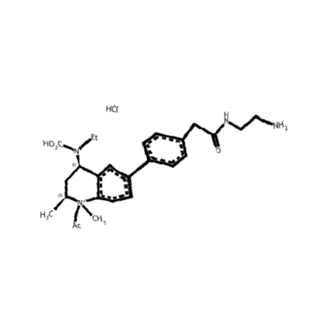 CCN(C(=O)O)[C@@H]1C[C@H](C)[N+](C)(C(C)=O)c2ccc(-c3ccc(CC(=O)NCCN)cc3)cc21.Cl